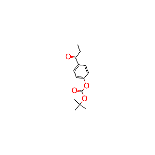 CCC(=O)c1ccc(OC(=O)OC(C)(C)C)cc1